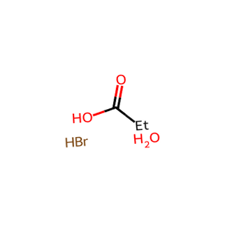 Br.CCC(=O)O.O